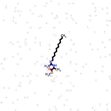 CCCCCCCCCCCCN=C(N)NC(C)C(=O)OC